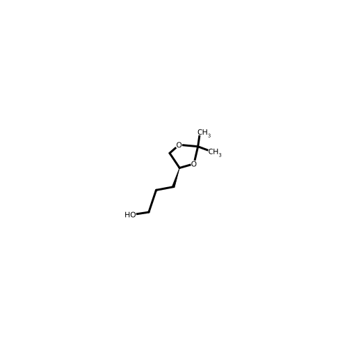 CC1(C)OC[C@H](CCCO)O1